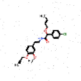 C#CCOc1ccc(CCNC(=O)C(OCC=CC)c2ccc(Cl)cc2)cc1OC